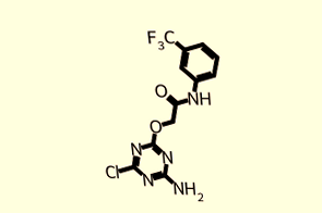 Nc1nc(Cl)nc(OCC(=O)Nc2cccc(C(F)(F)F)c2)n1